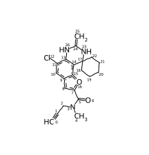 C#CCN(C)C(=O)c1cc2cc(Cl)c3c(c2o1)C1(CCCCC1)NC(=C)N3